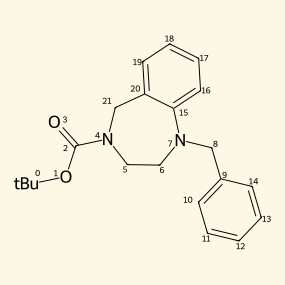 CC(C)(C)OC(=O)N1CCN(Cc2ccccc2)c2ccccc2C1